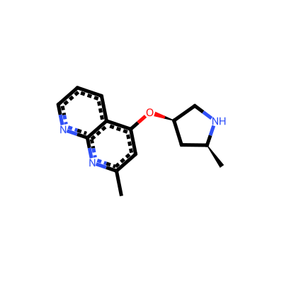 Cc1cc(O[C@H]2CN[C@@H](C)C2)c2cccnc2n1